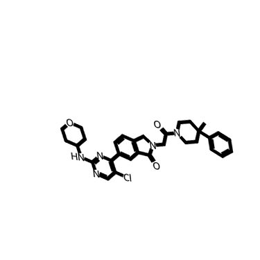 CC1(c2ccccc2)CCN(C(=O)CN2Cc3ccc(-c4nc(NC5CCOCC5)ncc4Cl)cc3C2=O)CC1